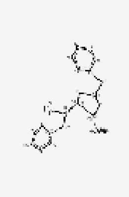 CO[C@H]1CN(Cc2ccccc2)C[C@@H]1N(C)Cc1ccccc1